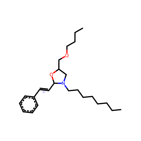 CCCCCCCCN1CC(COCCCC)OC1/C=C/c1ccccc1